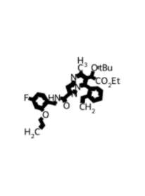 C=CCOc1cc(F)ccc1CNC(=O)c1cc2nc(C)c(C(OC(C)(C)C)C(=O)OCC)c(-c3ccccc3C=C)n2n1